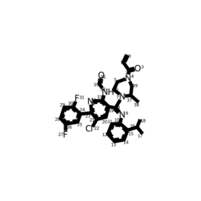 C=CC(=O)N1CCN(/C(=N/c2ccccc2C(C)C)c2cc(Cl)c(-c3cc(F)ccc3F)nc2NC=O)C(C)C1